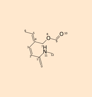 C=C(/C=C\C(=C/C)COC=O)NC